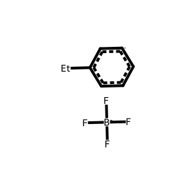 CCc1c[c]ccc1.F[B-](F)(F)F